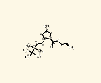 C=CCOC(=O)N1C[C@H](N)C[C@H]1CO[Si](C)(C)C(C)(C)C